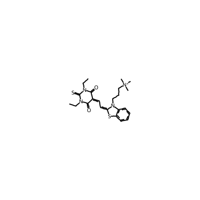 CCN1C(=O)C(=CC=C2Sc3ccccc3N2CCC[N+](C)(C)C)C(=O)N(CC)C1=S